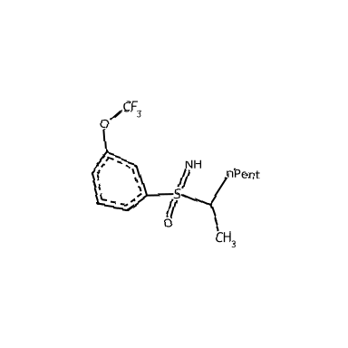 CCCCCC(C)S(=N)(=O)c1cccc(OC(F)(F)F)c1